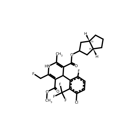 COC(=O)C1=C(CF)NC(C)=C(C(=O)OC2C[C@H]3CCC[C@H]3C2)C1c1c(F)ccc(Cl)c1C(F)(F)F